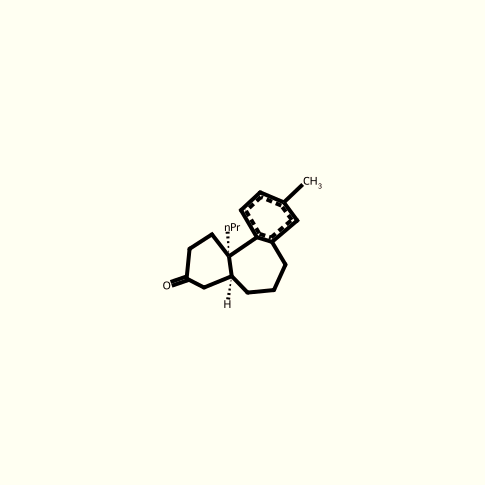 CCC[C@@]12CCC(=O)C[C@@H]1CCCc1cc(C)ccc12